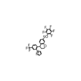 Fc1c(F)c(F)c(OSc2ccc3c(c2)OCCC3c2ccc(C(F)(F)F)cc2-n2cccn2)c(F)c1F